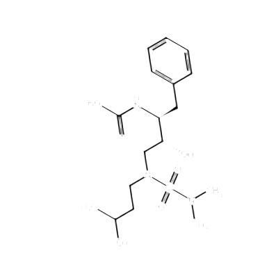 CC(C)CCN(C[C@@H](O)[C@H](Cc1ccccc1)NC(=O)O)S(=O)(=O)N(C)C